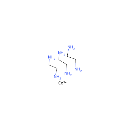 NCCN.NCCN.NCCN.[Co+3]